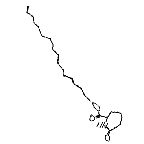 CCCCCCCCCCCCCCCCOC(=O)C1CCCC(=O)N1